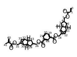 C=CC(=O)OCC1C[C@@H]2C3CC(CC3COC(=O)c3cccc(C(=O)OCC4C[C@@H]5C6CC(CC6COC(=O)C(=C)C)[C@@H]5C4)c3)[C@@H]2C1